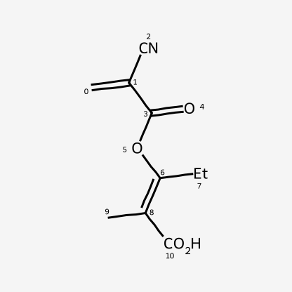 C=C(C#N)C(=O)O/C(CC)=C(\C)C(=O)O